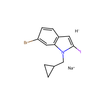 Brc1ccc2cc(I)n(CC3CC3)c2c1.[H-].[Na+]